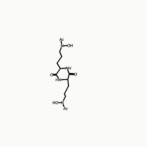 CC(=O)N(O)CCCC1NC(=O)C(CCCN(O)C(C)=O)NC1=O